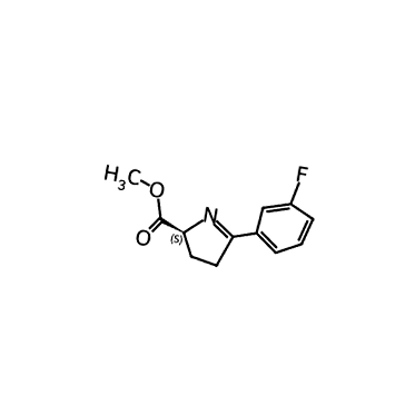 COC(=O)[C@@H]1CCC(c2cccc(F)c2)=N1